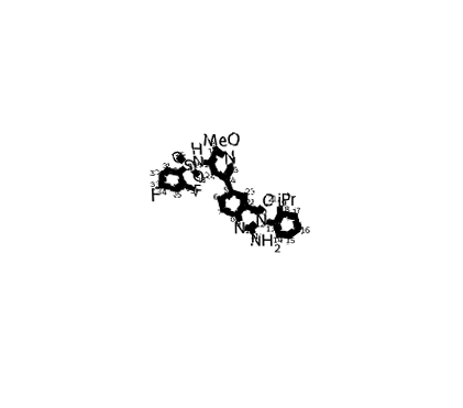 COc1ncc(-c2ccc3nc(N)n(-c4ccccc4C(C)C)c(=O)c3c2)cc1NS(=O)(=O)c1ccc(F)cc1F